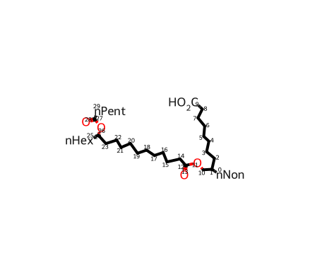 CCCCCCCCCC(CCCCCCCC(=O)O)COC(=O)CCCCCCCCCCC(CCCCCC)OC(=O)CCCCC